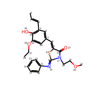 C/C=C/c1cc(/C=C2\S/C(=N\c3ccccc3)N(CCOC)C2=O)cc(OCC)c1O